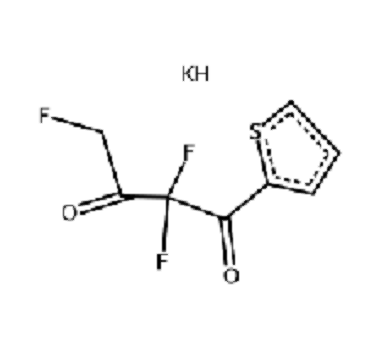 O=C(CF)C(F)(F)C(=O)c1cccs1.[KH]